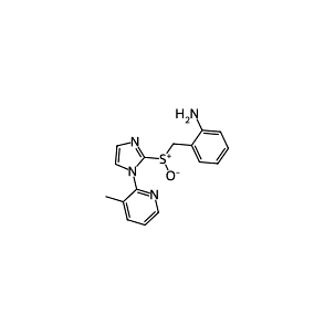 Cc1cccnc1-n1ccnc1[S+]([O-])Cc1ccccc1N